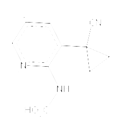 N#CC1(c2cccnc2NC(=O)O)CC1